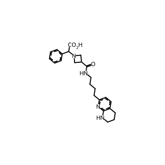 O=C(NCCCCc1ccc2c(n1)NCCC2)C1CN(C(C(=O)O)c2ccccc2)C1